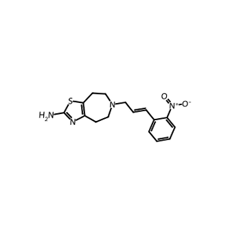 Nc1nc2c(s1)CCN(C/C=C/c1ccccc1[N+](=O)[O-])CC2